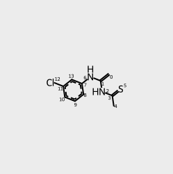 C=C(NC(C)=S)Nc1cccc(Cl)c1